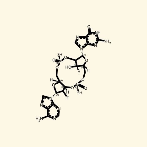 Nc1nc2c(ncn2[C@@H]2O[C@@H]3CO[P@@](=O)(S)O[C@@H]4C(F)[C@H](n5cnc6c(N)ncnc65)O[C@@H]4CO[P@@](=O)(S)OC2[C@H]3O)c(=O)[nH]1